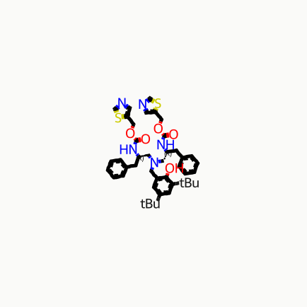 CC(C)(C)c1cc(CN(C[C@@H](Cc2ccccc2)NC(=O)OCc2cncs2)C[C@@H](Cc2ccccc2)NC(=O)OCc2cncs2)c(O)c(C(C)(C)C)c1